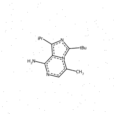 Cc1cnc(N)c2c(C(C)C)nc(C(C)(C)C)n12